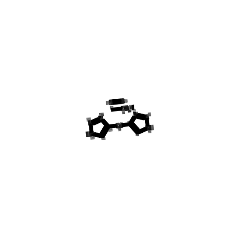 CC(=O)O.O=O.c1[nH]nn[c]1[Cd][c]1c[nH]nn1